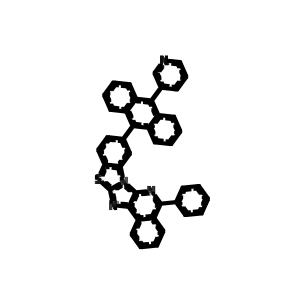 c1ccc(-c2nc3c(nc4sc5ccc(-c6c7ccccc7c(-c7cccnc7)c7ccccc67)cc5n43)c3ccccc23)cc1